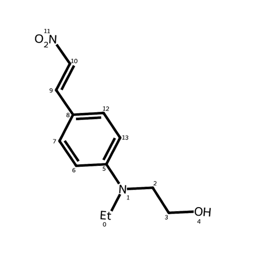 CCN(CCO)c1ccc(C=C[N+](=O)[O-])cc1